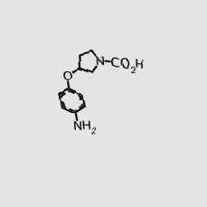 Nc1ccc(O[C@H]2CCN(C(=O)O)C2)cc1